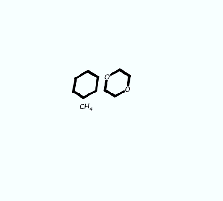 C.C1CCCCC1.C1COCCO1